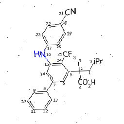 CC(C)CC(C)(C(=O)O)c1cc(-c2ccccc2)cc(Nc2ccc(C#N)cc2)c1C(F)(F)F